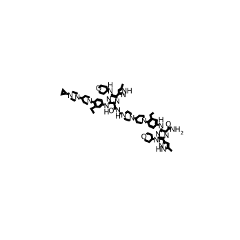 CCc1cc(Nc2nc(NC3CCOCC3)c(-c3cc(C)[nH]n3)nc2C(N)=O)ccc1N1CCC(N2CCN(CNC(=O)c3nc(-c4cc(C)[nH]n4)c(NC4CCOCC4)nc3Nc3ccc(N4CCC(N5CCN(C6CC6)CC5)CC4)c(CC)c3)CC2)CC1